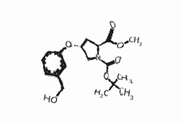 COC(=O)[C@@H]1C[C@@H](Oc2cccc(CO)c2)CN1C(=O)OC(C)(C)C